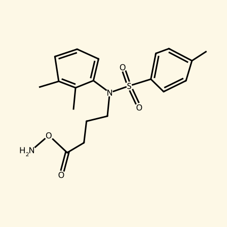 Cc1ccc(S(=O)(=O)N(CCCC(=O)ON)c2cccc(C)c2C)cc1